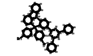 Brc1ccc(C2(c3ccc(Br)cc3)c3cc(-c4nc(-c5ccccc5)nc(-c5ccccc5)n4)ccc3-n3c4ccccc4c4cccc2c43)cc1